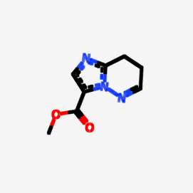 COC(=O)c1cnc2n1N=CCC2